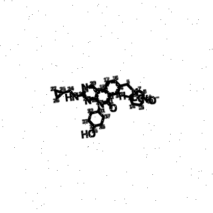 O=c1c2cc(CN3CC[N@+]4([O-])CC[C@@H]3CC4)ccc2c2cnc(NCC3CC3)nc2n1C1CCC(O)CC1